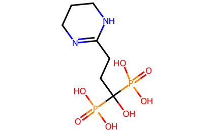 O=P(O)(O)C(O)(CCC1=NCCCN1)P(=O)(O)O